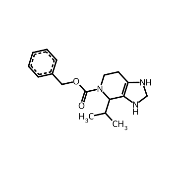 CC(C)C1C2=C(CCN1C(=O)OCc1ccccc1)NCN2